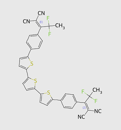 [C-]#[N+]/C(C#N)=C(/c1ccc(-c2ccc(-c3ccc(-c4ccc(-c5ccc(/C(=C(/C#N)[N+]#[C-])C(C)(F)F)cc5)s4)s3)s2)cc1)C(C)(F)F